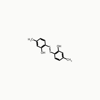 Cc1ccc(SSc2ccc(C)cc2O)c(O)c1